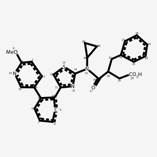 COc1ccc(-c2ccccc2-c2csc(N(C(=O)C(CC(=O)O)Cc3ccccc3)C3CC3)n2)cn1